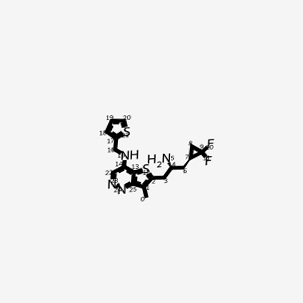 Cc1c(C[C@@H](N)C[C@H]2CC2(F)F)sc2c(NCc3cccs3)cnnc12